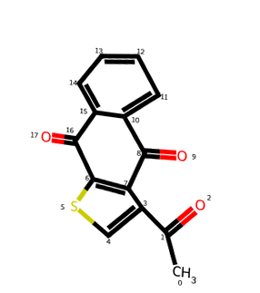 CC(=O)c1csc2c1C(=O)c1ccccc1C2=O